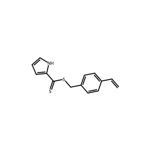 C=Cc1ccc(CSC(=S)c2ccc[nH]2)cc1